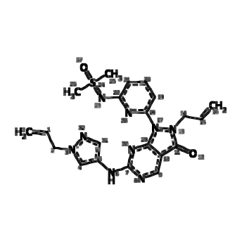 C=CCn1cc(Nc2ncc3c(=O)n(CC=C)n(-c4cccc(N=S(C)(C)=O)n4)c3n2)cn1